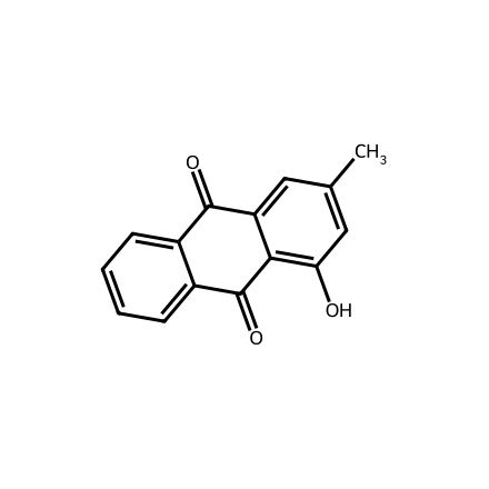 Cc1cc(O)c2c(c1)C(=O)c1ccccc1C2=O